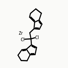 ClC(Cl)(CC1=CC=C2CCCC=C21)C1=CC=C2CCCC=C21.[Zr]